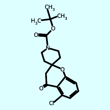 CC(C)(C)OC(=O)N1CCC2(CC1)CC(=O)c1c(Cl)cccc1O2